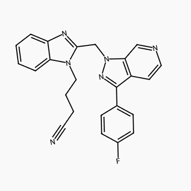 N#CCCCn1c(Cn2nc(-c3ccc(F)cc3)c3ccncc32)nc2ccccc21